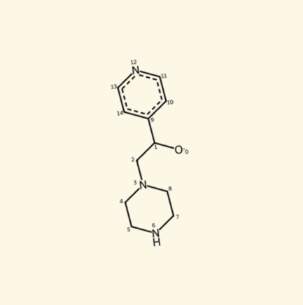 [O]C(CN1CCNCC1)c1ccncc1